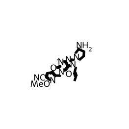 CC#CCn1c(N2CCC[C@@H](N)C2)nc2c1c(=O)n(Cc1ccc(C#N)c(OC)n1)c(=O)n2C